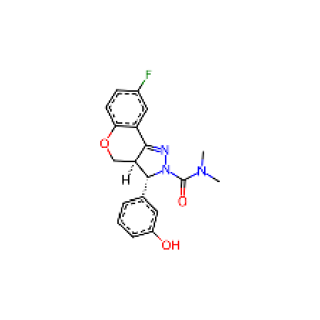 CN(C)C(=O)N1N=C2c3cc(F)ccc3OC[C@@H]2[C@H]1c1cccc(O)c1